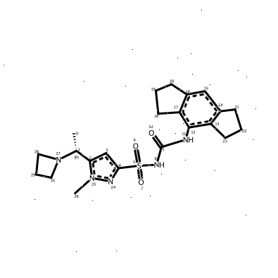 C[C@H](c1cc(S(=O)(=O)NC(=O)Nc2c3c(cc4c2CCC4)CCC3)nn1C)N1CCC1